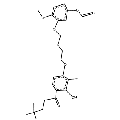 COc1ccc(OC=O)cc1OCCCCOc1ccc(C(=O)CCC(C)(C)C)c(O)c1C